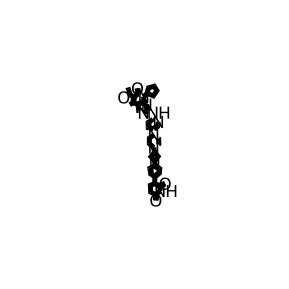 CC(=O)c1c(C)c2cnc(Nc3ccc(N4CCN(C5CN(c6ccc(C7CCC(=O)NC7=O)cc6)C5)CC4)cn3)nc2n(C2CCCC2)c1=O